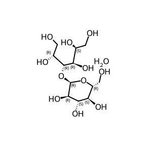 O.OC[C@@H](O)[C@@H](O[C@H]1O[C@H](CO)[C@@H](O)[C@H](O)[C@H]1O)[C@H](O)[C@@H](O)CO